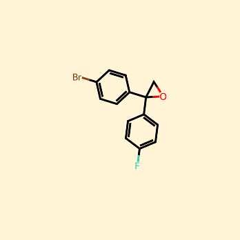 Fc1ccc(C2(c3ccc(Br)cc3)CO2)cc1